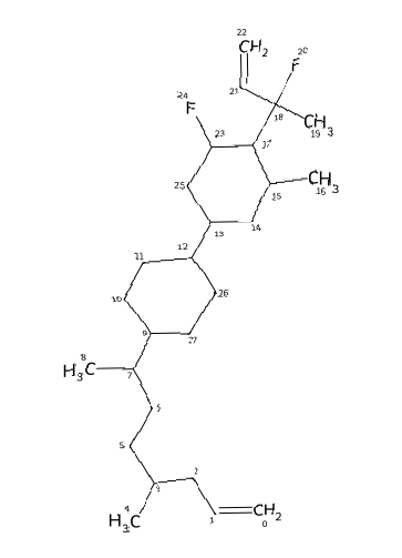 C=CCC(C)CCC(C)C1CCC(C2CC(C)C(C(C)(F)C=C)C(F)C2)CC1